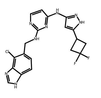 FC1(F)CC(c2cc(Nc3ccnc(NCc4ccc5[nH]cnc5c4Cl)n3)n[nH]2)C1